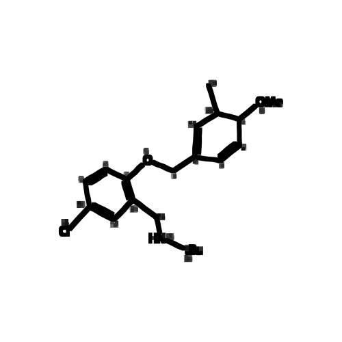 COC1C=CC(COc2ccc(Cl)cc2CNC(C)(C)C)=CC1C